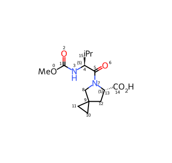 COC(=O)N[C@H](C(=O)N1CC2(CC2)C[C@H]1C(=O)O)C(C)C